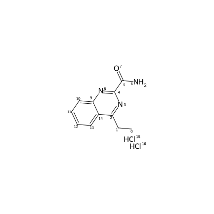 CCc1nc(C(N)=O)nc2ccccc12.Cl.Cl